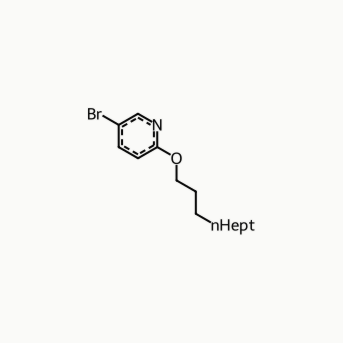 CCCCCCCCCCOc1ccc(Br)cn1